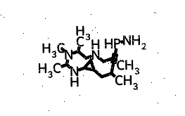 CCCNCC(C)N(C)C(C)NC1CC1CC(C)C#CPN